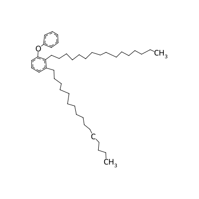 CCCCCCCCCCCCCCCCc1cccc(Oc2ccccc2)c1CCCCCCCCCCCCCCCC